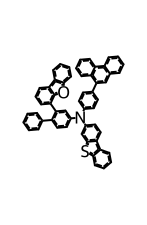 c1ccc(-c2ccc(N(c3ccc(-c4cc5ccccc5c5ccccc45)cc3)c3ccc4c(c3)sc3ccccc34)cc2-c2cccc3c2oc2ccccc23)cc1